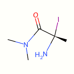 CN(C)C(=O)[C@@](C)(N)I